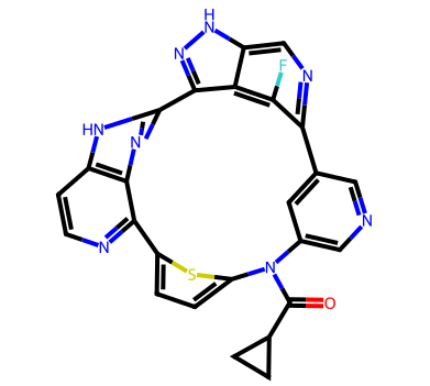 O=C(C1CC1)n1c2cncc(c2)c2ncc3[nH]nc(c4nc5c(ccnc5c5ccc1s5)[nH]4)c3c2F